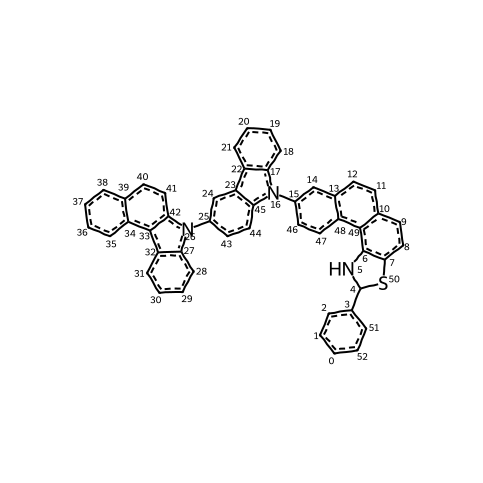 c1ccc(C2Nc3c(ccc4ccc5cc(-n6c7ccccc7c7cc(-n8c9ccccc9c9c%10ccccc%10ccc98)ccc76)ccc5c34)S2)cc1